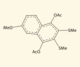 COc1ccc2c(OC(C)=O)c(SC)c(SC)c(OC(C)=O)c2c1